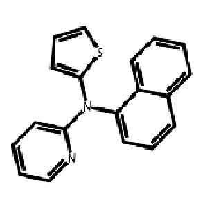 c1ccc(N(c2cccs2)c2cccc3ccccc23)nc1